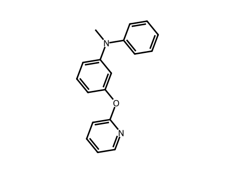 CN(c1ccccc1)c1cccc(Oc2ccccn2)c1